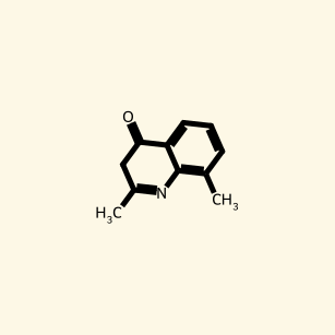 CC1=Nc2c(C)cccc2C(=O)C1